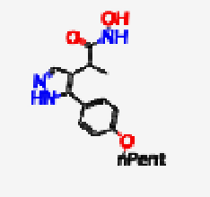 CCCCCOc1ccc(-c2[nH]ncc2C(C)C(=O)NO)cc1